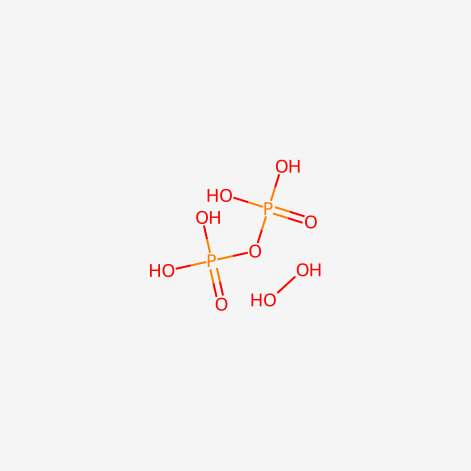 O=P(O)(O)OP(=O)(O)O.OO